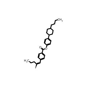 CCCCC1CCC(c2ccc(OC(=O)c3ccc(/C=C(/F)CCC)cc3)cc2)CC1